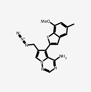 COc1cc(C)cc2cc(-c3c(CN=[N+]=[N-])cn4ncnc(N)c34)sc12